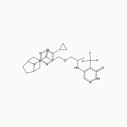 CC(COCCC(=O)N1CC2CCC(C1)N2c1ncc(C2CC2)cn1)Nc1cn[nH]c(=O)c1C(F)(F)F